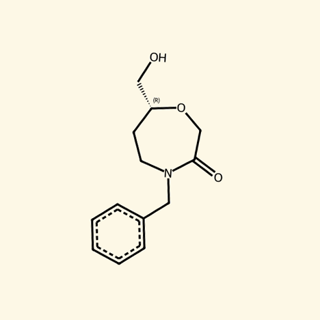 O=C1CO[C@@H](CO)CCN1Cc1ccccc1